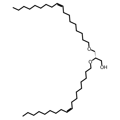 CCCCCCCC/C=C\CCCCCCCCOC[C@H](CO)OCCCCCCCC/C=C\CCCCCCCC